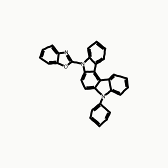 c1ccc(-n2c3ccccc3c3c4c5ccccc5n(-c5nc6ccccc6o5)c4ccc32)cc1